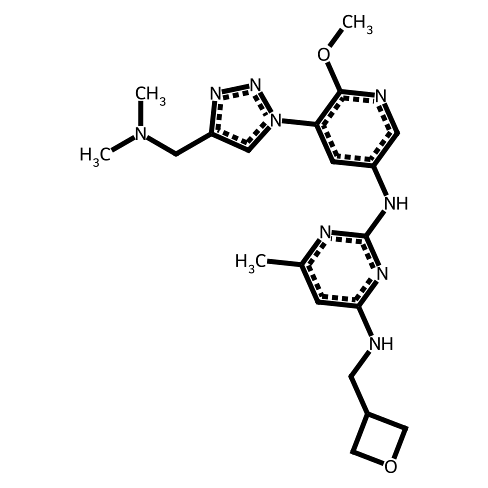 COc1ncc(Nc2nc(C)cc(NCC3COC3)n2)cc1-n1cc(CN(C)C)nn1